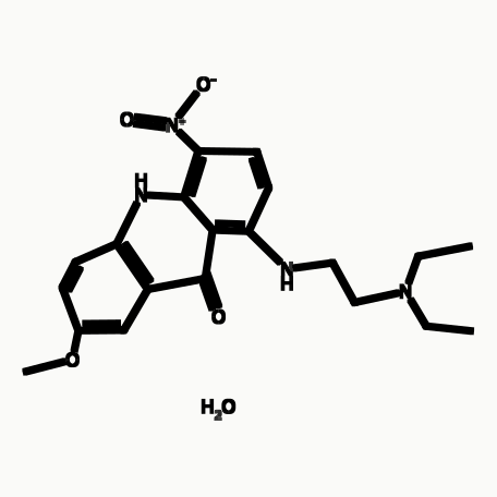 CCN(CC)CCNc1ccc([N+](=O)[O-])c2[nH]c3ccc(OC)cc3c(=O)c12.O